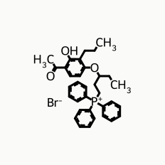 CCCc1c(OC(CC)CC[P+](c2ccccc2)(c2ccccc2)c2ccccc2)ccc(C(C)=O)c1O.[Br-]